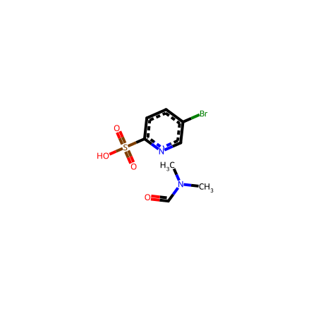 CN(C)C=O.O=S(=O)(O)c1ccc(Br)cn1